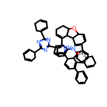 CC1C(C2C=CCCC2)=C(c2ccccc2)C=CC1c1cc(-c2nc(C3=CC=CCC3)nc(C3C=CC=CC3)n2)c(C2=CCCC3OC4C=Cc5c(n(C6=CC=CCC6)c6c5=CCCC=6)C4C23)[nH]1